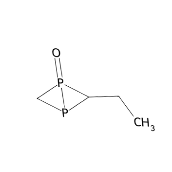 CCC1P2CP12=O